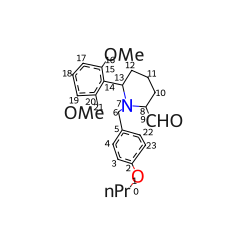 CCCOc1ccc(CN2C(C=O)CCCC2c2c(OC)cccc2OC)cc1